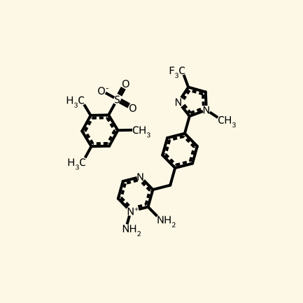 Cc1cc(C)c(S(=O)(=O)[O-])c(C)c1.Cn1cc(C(F)(F)F)nc1-c1ccc(Cc2ncc[n+](N)c2N)cc1